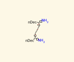 CCCCCCCCCCCCC(c1ccc(N)cc1)c1ccc(CCCCCCCCc2ccc(C(CCCCCCCCCCCC)c3ccc(N)cc3)cc2)cc1